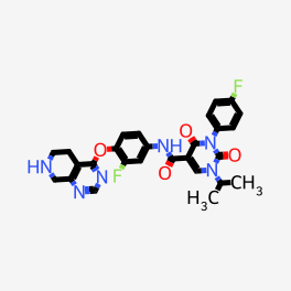 CC(C)n1cc(C(=O)Nc2ccc(Oc3ncnc4c3CCNC4)c(F)c2)c(=O)n(-c2ccc(F)cc2)c1=O